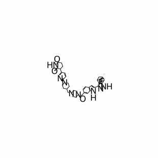 C[C@@]12Cc3[nH]nc(-c4cc5ccc(C(=O)N6CCN(CC7CCN(c8ccc(C9CCC(=O)NC9=O)cn8)CC7)CC6)cc5[nH]4)c3C(C1)C2(F)F